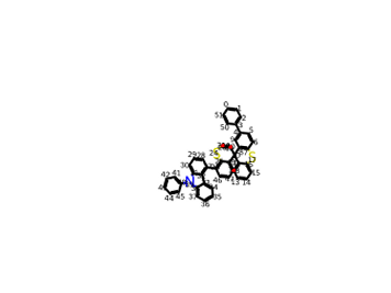 c1ccc(-c2ccc3c(c2)C2(c4ccccc4S3)c3ccccc3Sc3c(-c4cccc5c4c4ccccc4n5-c4ccccc4)cccc32)cc1